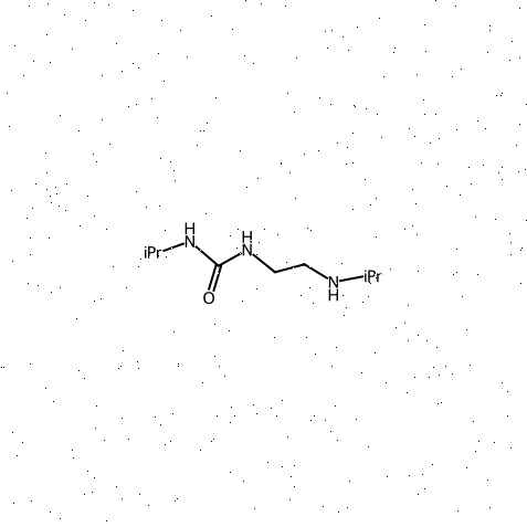 CC(C)NCCNC(=O)NC(C)C